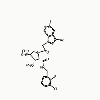 CO[C@H]1[C@@H](C(=O)NCc2cccc(Cl)c2F)N(C(=O)Cn2cc(C(C)=O)c3cc(C)ncc32)C[C@@H]1F.O=CO